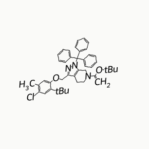 C=C(OC(C)(C)C)N1CCc2c(COc3cc(C)c(Cl)cc3C(C)(C)C)nn(C(c3ccccc3)(c3ccccc3)c3ccccc3)c2C1